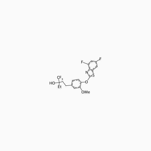 CCC(O)(CCc1ccc(Oc2nc3c(F)cc(F)cc3s2)c(OC)c1)C(F)(F)F